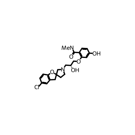 CNC(=O)c1ccc(O)cc1OC[C@H](O)CN1CCC2(Cc3cc(Cl)ccc3O2)C1